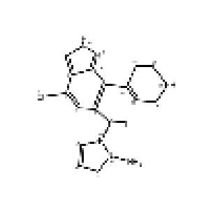 CC(c1cc(Cl)c2c[nH]nc2c1C1=CCNCC1)N1C=CCN1N